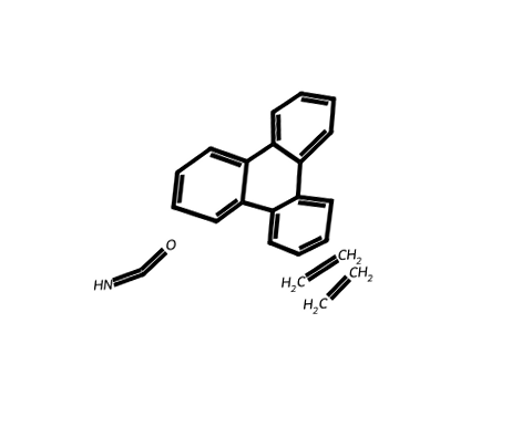 C=C.C=C.N=C=O.c1ccc2c(c1)c1ccccc1c1ccccc21